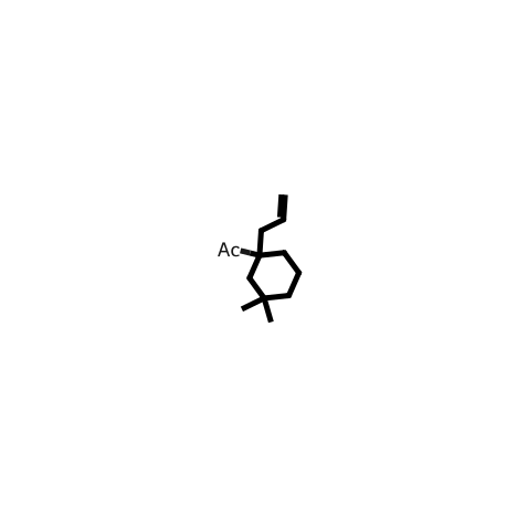 C=CCC1(C(C)=O)CCCC(C)(C)C1